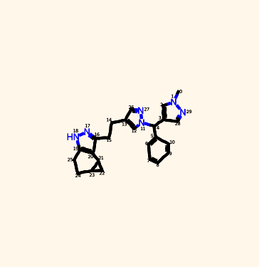 Cn1cc(C(c2ccccc2)n2cc(CCc3n[nH]c4c3C3CC3CC4)cn2)cn1